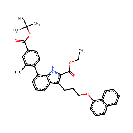 CCOC(=O)c1[nH]c2c(-c3ccc(C(=O)OC(C)(C)C)cc3C)cccc2c1CCCOc1cccc2ccccc12